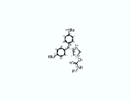 CC(C)NC(=O)O[C@H]1CN[C@@H](C(c2ccc(C(C)(C)C)cc2)c2ccc(C(C)(C)C)cc2)C1